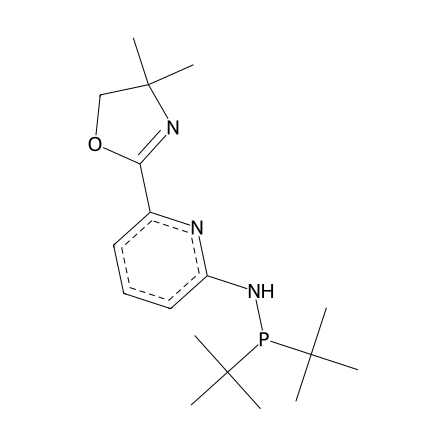 CC1(C)COC(c2cccc(NP(C(C)(C)C)C(C)(C)C)n2)=N1